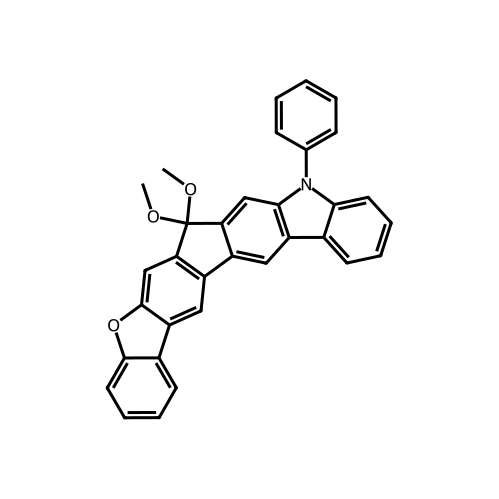 COC1(OC)c2cc3oc4ccccc4c3cc2-c2cc3c4ccccc4n(-c4ccccc4)c3cc21